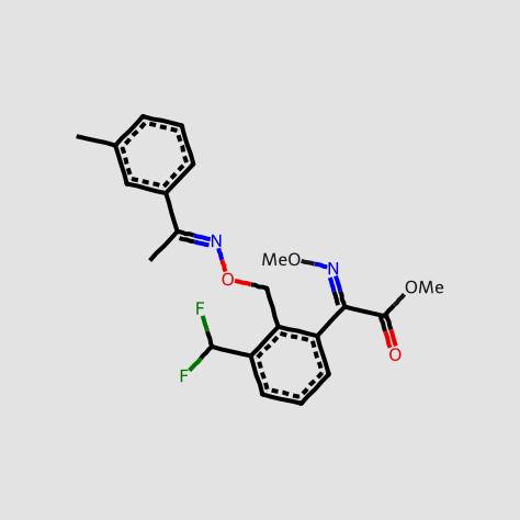 CO/N=C(/C(=O)OC)c1cccc(C(F)F)c1CO/N=C(\C)c1cccc(C)c1